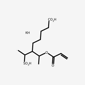 [CH2]C(C(CCCCC(=O)O)C(C)OC(=O)C=C)S(=O)(=O)O.[KH]